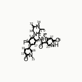 CC1CN(c2cc(F)c(-c3ccc(=O)n(C)c3)cc2NC(=O)c2c[nH]c(=O)cc2C(F)(F)F)CC(C)N1C